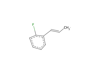 [CH2]C=Cc1ccccc1F